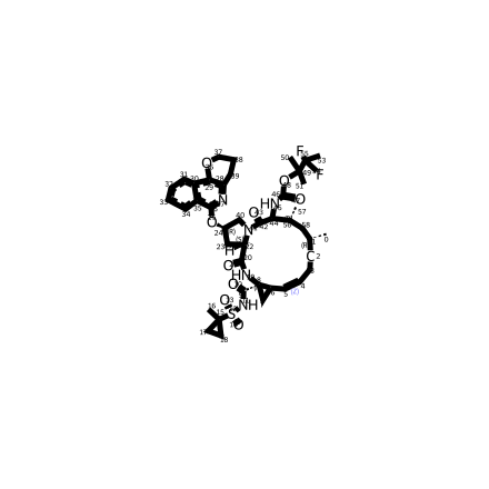 C[C@@H]1CC/C=C\C2C[C@@]2(C(=O)NS(=O)(=O)C2(C)CC2)NC(=O)[C@@H]2C[C@@H](Oc3nc4c(c5ccccc35)OCCC4)CN2C(=O)C(NC(=O)OC(C)(C)C(C)(F)F)[C@H](C)C1